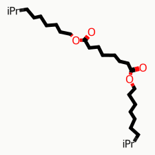 CC(C)CCCCCCCOC(=O)CCCCCCC(=O)OCCCCCCCC(C)C